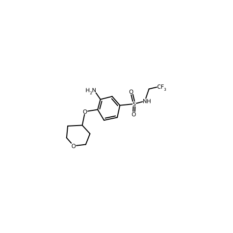 Nc1cc(S(=O)(=O)NCC(F)(F)F)ccc1OC1CCOCC1